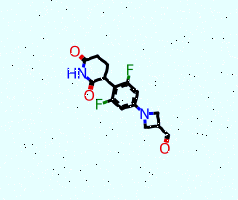 O=CC1CN(c2cc(F)c(C3CCC(=O)NC3=O)c(F)c2)C1